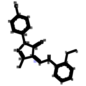 CCc1ccccc1N/C=C1\C(=O)N(c2ccc(Cl)cc2)N=C1C